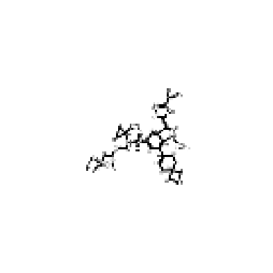 Cn1nc(-c2nnc(C(F)F)s2)c2cc(S(=O)(=O)N(COCC[Si](C)(C)C)C3(C#N)CC3)cc(C3=CCC4(CC3)COC4)c21